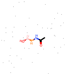 CC(=O)NPBO